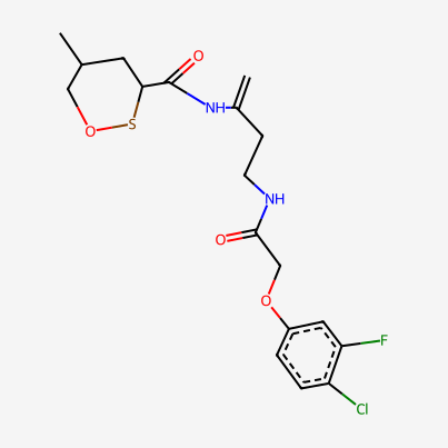 C=C(CCNC(=O)COc1ccc(Cl)c(F)c1)NC(=O)C1CC(C)COS1